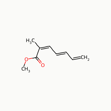 C=CC=CC=C(C)C(=O)OC